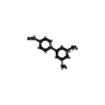 CC(=O)Nc1ccc(-c2cc(N)nc(N)c2)cc1